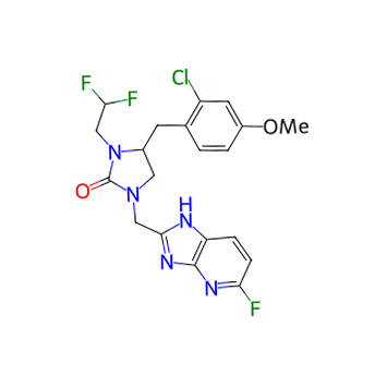 COc1ccc(CC2CN(Cc3nc4nc(F)ccc4[nH]3)C(=O)N2CC(F)F)c(Cl)c1